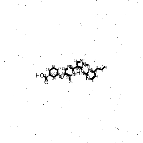 CCCc1ccnc(Nc2c(-c3ncc(O[C@H]4CCC[C@H](C(=O)O)C4)c(C)n3)cnn2C)n1